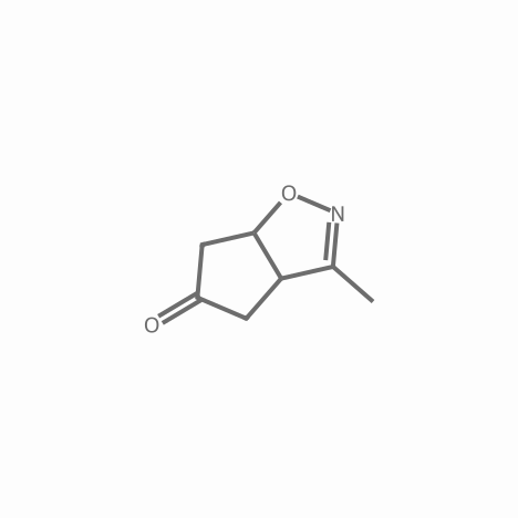 CC1=NOC2CC(=O)CC12